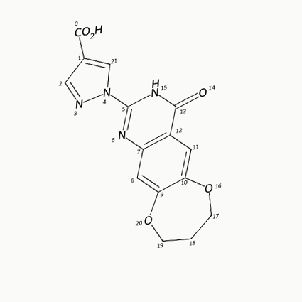 O=C(O)c1cnn(-c2nc3cc4c(cc3c(=O)[nH]2)OCCCO4)c1